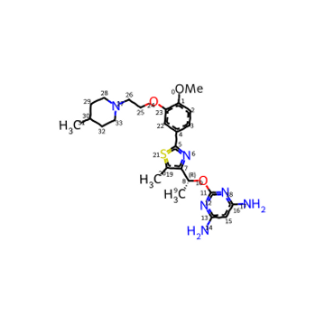 COc1ccc(-c2nc([C@@H](C)Oc3nc(N)cc(N)n3)c(C)s2)cc1OCCN1CCC(C)CC1